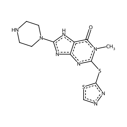 Cn1c(Sc2nncs2)nc2nc(N3CCNCC3)[nH]c2c1=O